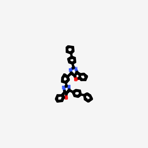 c1ccc(-c2ccc(-c3nc(-c4cccc(-c5nc(-c6ccc(-c7ccccc7)cc6)c6oc7ccccc7c6n5)c4)c4oc5ccccc5c4n3)cc2)cc1